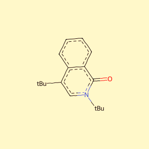 CC(C)(C)c1cn(C(C)(C)C)c(=O)c2ccccc12